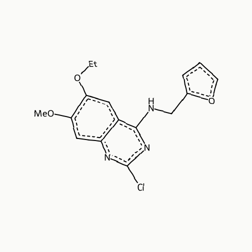 CCOc1cc2c(NCc3ccco3)nc(Cl)nc2cc1OC